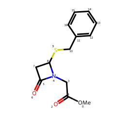 COC(=O)CN1C(=O)CC1SCc1ccccc1